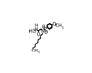 CCCCCCCCCN(CC(=O)NO)S(=O)(=O)c1ccc(OC)cc1